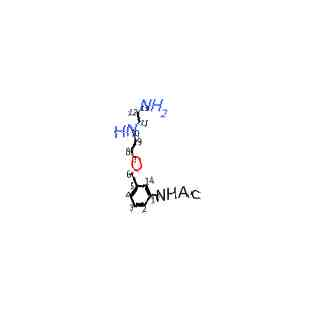 CC(=O)Nc1cccc(COCCNCCN)c1